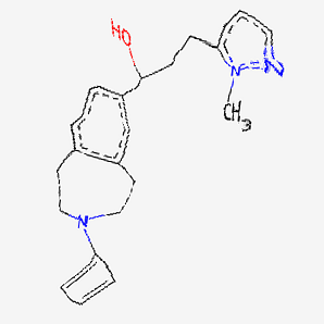 Cn1nccc1CCC(O)c1ccc2c(c1)CCN(C1=CC=C1)CC2